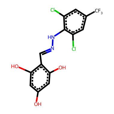 Oc1cc(O)c(C=NNc2c(Cl)cc(C(F)(F)F)cc2Cl)c(O)c1